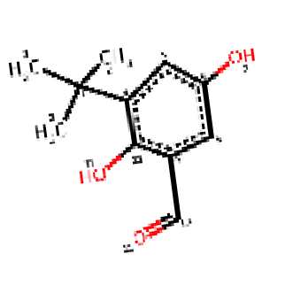 CC(C)(C)c1cc(O)cc(C=O)c1O